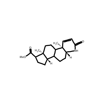 COC(=O)C1CC[C@H]2C3CC[C@H]4NC(=O)C=C[C@]4(C)C3CC[C@]12C